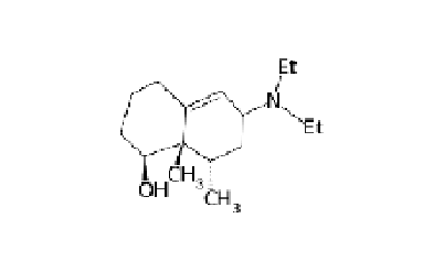 CCN(CC)C1C=C2CCC[C@H](O)[C@@]2(C)[C@@H](C)C1